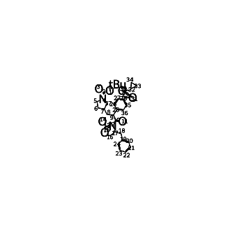 CC(C)(C)OC(=O)N1CCC(CC(C(=O)N2C(=O)OCC2Cc2ccccc2)c2ccc(S(=O)(=O)C3CC3)cc2)C1